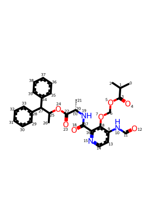 CC(C)C(=O)OCOc1c(NC=O)ccnc1C(=O)N[C@@H](C)C(=O)OC(C)C(c1ccccc1)c1ccccc1